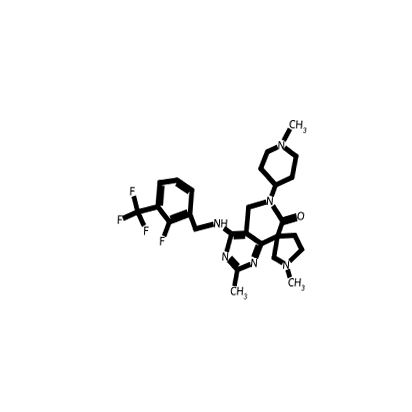 Cc1nc(NCc2cccc(C(F)(F)F)c2F)c2c(n1)C1(CCN(C)C1)C(=O)N(C1CCN(C)CC1)C2